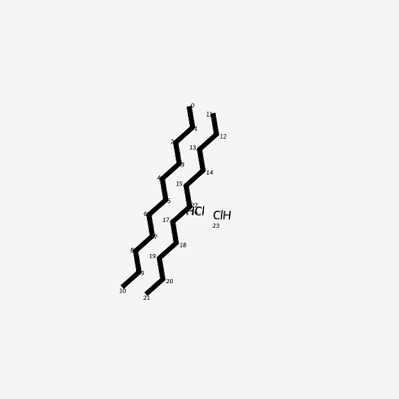 CCCCCCCCCCC.CCCCCCCCCCC.Cl.Cl